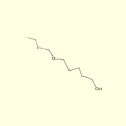 [CH2]COCOCCCCCO